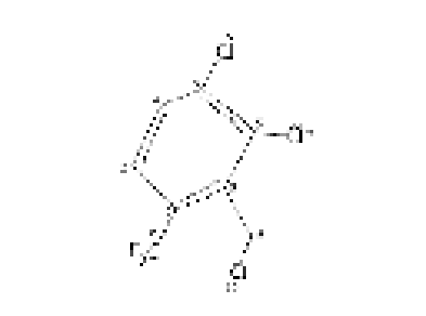 FC(F)(F)c1ccc(Cl)c(Cl)c1CCl